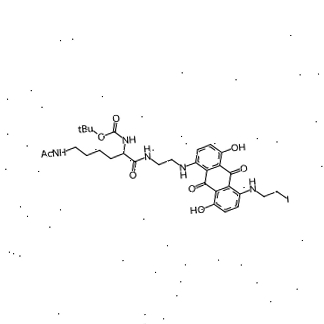 CC(=O)NCCCCC(NC(=O)OC(C)(C)C)C(=O)NCCNc1ccc(O)c2c1C(=O)c1c(O)ccc(NCCI)c1C2=O